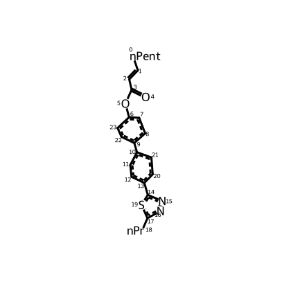 CCCCCC=CC(=O)Oc1ccc(-c2ccc(-c3nnc(CCC)s3)cc2)cc1